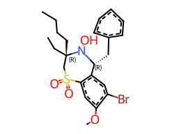 CCCC[C@]1(CC)CS(=O)(=O)c2cc(OC)c(Br)cc2[C@@H](Cc2ccccc2)N1O